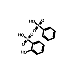 O=S(=O)(O)c1ccccc1.O=S(=O)(O)c1ccccc1O